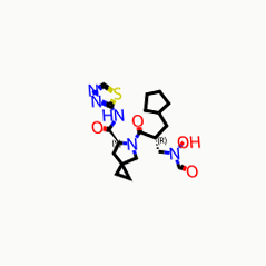 O=CN(O)C[C@@H](CC1CCCC1)C(=O)N1CC2(CC2)C[C@H]1C(=O)Nc1nncs1